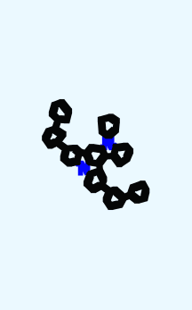 c1ccc(-c2cccc(-c3ccc4c(c3)c3cc5c(c6ccccc6n5-c5ccccc5)c5c6cc(-c7cccc(-c8ccccc8)c7)ccc6n4c35)c2)cc1